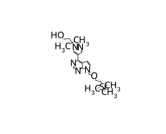 CC(C)(CCO)n1cc(-c2ncnc3c2ccn3COCC[Si](C)(C)C)cn1